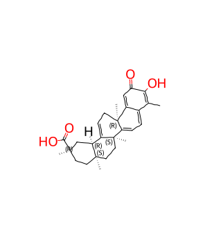 CC1=C(O)C(=O)C=C2C1=CC=C1[C@@]2(C)CC=C2[C@@H]3C[C@](C)(C(=O)O)CC[C@]3(C)CC[C@@]21C